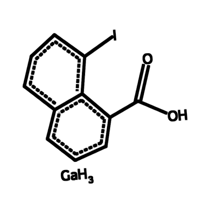 O=C(O)c1cccc2cccc(I)c12.[GaH3]